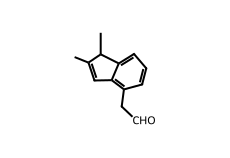 CC1=Cc2c(CC=O)cccc2C1C